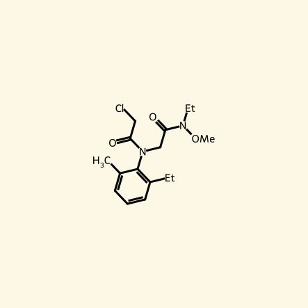 CCc1cccc(C)c1N(CC(=O)N(CC)OC)C(=O)CCl